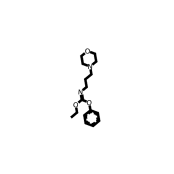 CCOC(=NCCCN1CCOCC1)Oc1ccccc1